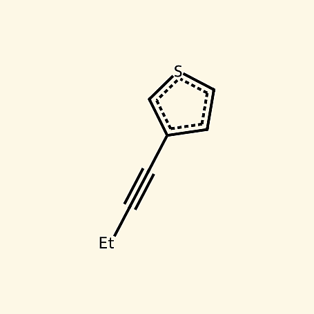 CCC#Cc1ccsc1